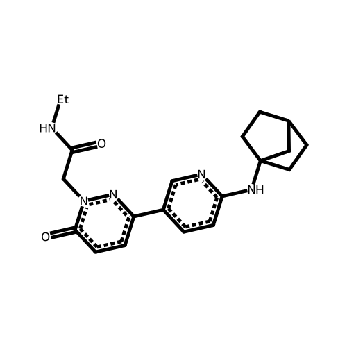 CCNC(=O)Cn1nc(-c2ccc(NC34CCC(CC3)C4)nc2)ccc1=O